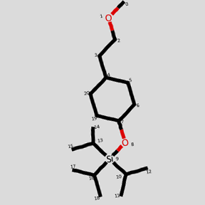 COCCC1CCC(O[Si](C(C)C)(C(C)C)C(C)C)CC1